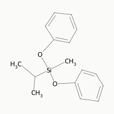 CC(C)[Si](C)(Oc1ccccc1)Oc1ccccc1